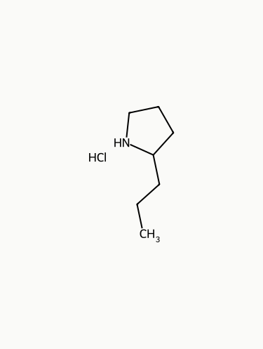 CCCC1CCCN1.Cl